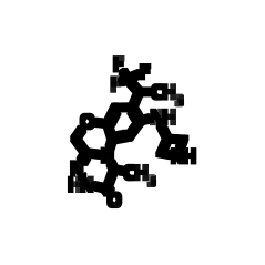 CC1C(=O)NN=C2COc3cc(C(C)C(F)(F)F)c(NC4CNC4)cc3N21